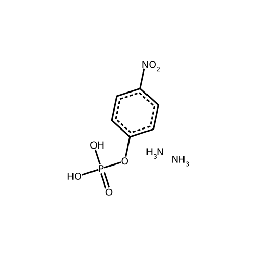 N.N.O=[N+]([O-])c1ccc(OP(=O)(O)O)cc1